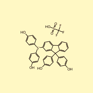 O=S(=O)(O)C(F)(F)F.Oc1ccc([S+](c2ccc(O)cc2)c2ccc3c(c2)C(c2ccc(O)cc2)(c2ccc(O)cc2)c2ccccc2-3)cc1